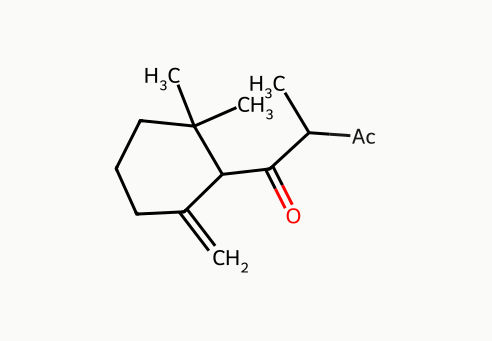 C=C1CCCC(C)(C)C1C(=O)C(C)C(C)=O